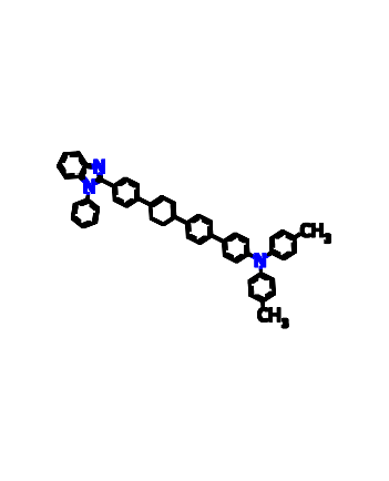 Cc1ccc(N(c2ccc(C)cc2)c2ccc(-c3ccc(C4=CC=C(c5ccc(-c6nc7ccccc7n6-c6ccccc6)cc5)CC4)cc3)cc2)cc1